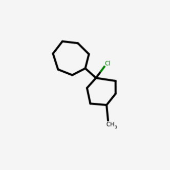 CC1CCC(Cl)(C2CCCCCC2)CC1